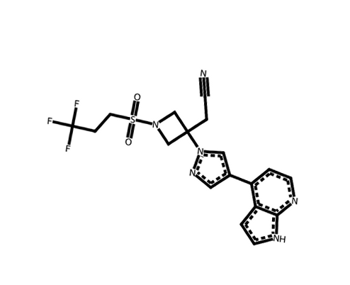 N#CCC1(n2cc(-c3ccnc4[nH]ccc34)cn2)CN(S(=O)(=O)CCC(F)(F)F)C1